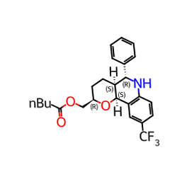 CCCCC(=O)OC[C@H]1CC[C@@H]2[C@H](O1)c1cc(C(F)(F)F)ccc1N[C@H]2c1ccccc1